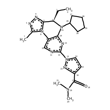 CC[C@@H]1c2nnc(C)n2-c2cnc(-n3ccc(C(=O)N(C)C)n3)nc2N1C1CCCC1